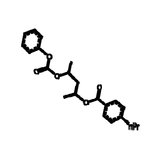 CCCc1ccc(C(=O)OC(C)CC(C)OC(=O)Oc2ccccc2)cc1